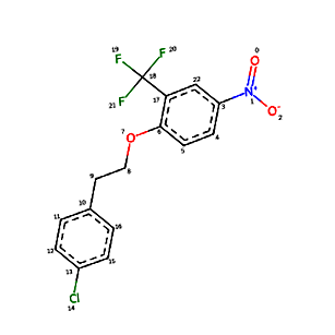 O=[N+]([O-])c1ccc(OCCc2ccc(Cl)cc2)c(C(F)(F)F)c1